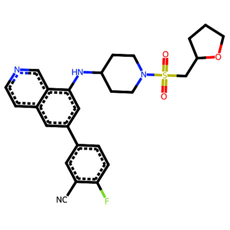 N#Cc1cc(-c2cc(NC3CCN(S(=O)(=O)CC4CCCO4)CC3)c3cnccc3c2)ccc1F